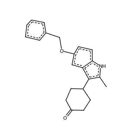 Cc1[nH]c2ccc(OCc3ccccc3)cc2c1C1CCC(=O)CC1